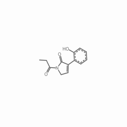 CCC(=O)N1CC=C(c2ccccc2O)C1=O